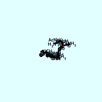 CC[C@H](C)[C@@H]([C@@H](CC(=O)N1CCC[C@H]1[C@H](OC)[C@@H](C)C(=O)N[C@@H](Cc1ccccc1)c1nccs1)OC)N(C)C(=O)[C@@H](NC(=O)C(C)(C)NC(=O)OCc1ccc(NC(=O)[C@H](CCCNC(N)=O)NC(=O)[C@@H](NC(=O)[C@@H](COCCN)NC(C)=O)C(C)C)cc1)C(C)C